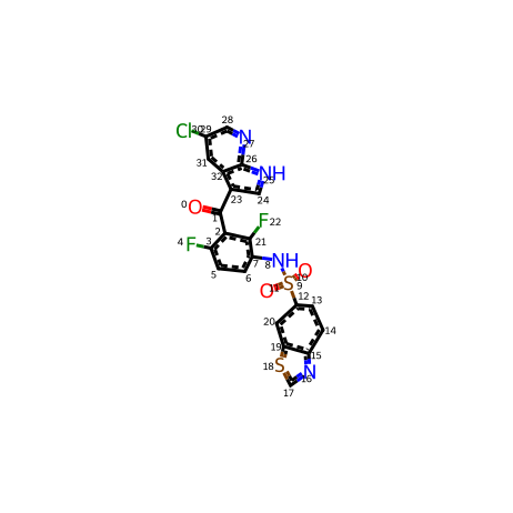 O=C(c1c(F)ccc(NS(=O)(=O)c2ccc3ncsc3c2)c1F)c1c[nH]c2ncc(Cl)cc12